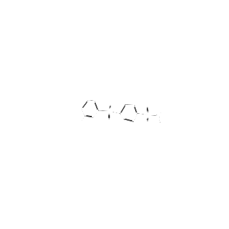 CCOC(=O)c1cccc(S(=O)(=O)c2ccc(S(=O)(=O)N(CC)CC)cc2)c1